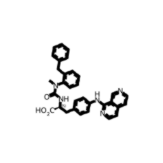 CN(C(=O)N[C@@H](Cc1ccc(Nc2nccc3ccncc23)cc1)C(=O)O)c1ccccc1Cc1ccccc1